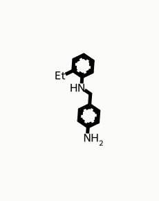 CCc1ccccc1NCc1ccc(N)cc1